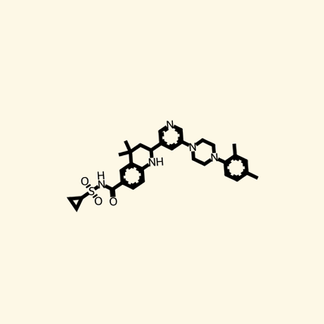 Cc1ccc(N2CCN(c3cncc(C4CC(C)(C)c5cc(C(=O)NS(=O)(=O)C6CC6)ccc5N4)c3)CC2)c(C)c1